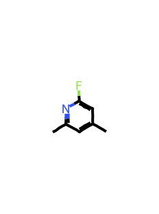 Cc1cc(C)nc(F)c1